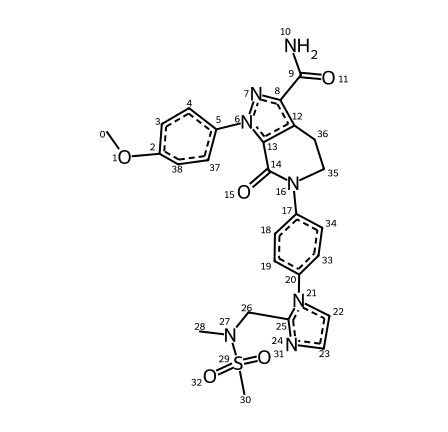 COc1ccc(-n2nc(C(N)=O)c3c2C(=O)N(c2ccc(-n4ccnc4CN(C)S(C)(=O)=O)cc2)CC3)cc1